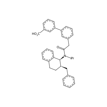 CC(C)N(C(=O)Cc1cccc(-c2cccc(C(=O)O)c2)c1)[C@@H]1c2ccccc2CC[C@@H]1Cc1ccccc1